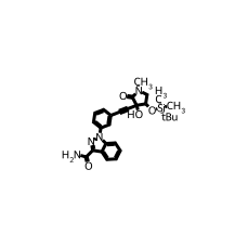 CN1CC(O[Si](C)(C)C(C)(C)C)C(O)(C#Cc2cccc(-n3nc(C(N)=O)c4ccccc43)c2)C1=O